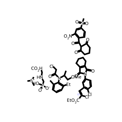 CCOC(=O)/C(Cl)=C/c1cc(N2C(=O)C3=C(CCCC3)C2=O)ccc1Cl.CCc1cccc(C)c1N(C(=O)CCl)C(C)COC.CS(=O)(=O)c1ccc(C(=O)C2C(=O)CCCC2=O)c([N+](=O)[O-])c1.C[S+](C)C.O=C(O)CNCP(=O)([O-])O